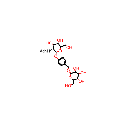 CC(=O)N[C@H]1C(O)[C@H](O)C(CO)O[C@H]1Oc1ccc(COC2OC(CO)[C@@H](O)[C@H](O)C2O)cc1